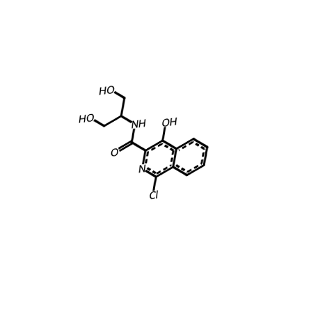 O=C(NC(CO)CO)c1nc(Cl)c2ccccc2c1O